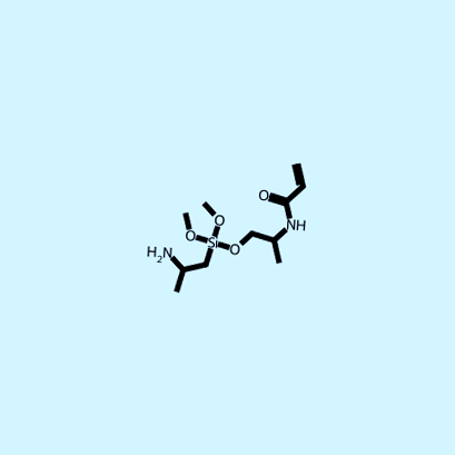 C=CC(=O)NC(C)CO[Si](CC(C)N)(OC)OC